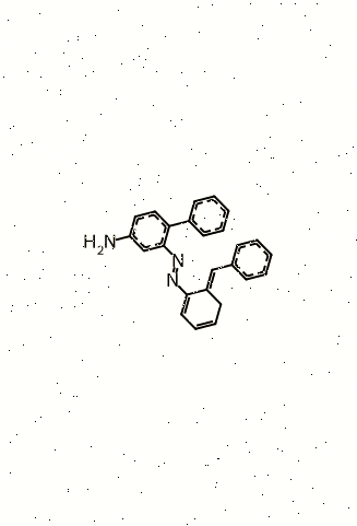 Nc1ccc(-c2ccccc2)c(N=NC2=CC=CCC2=Cc2ccccc2)c1